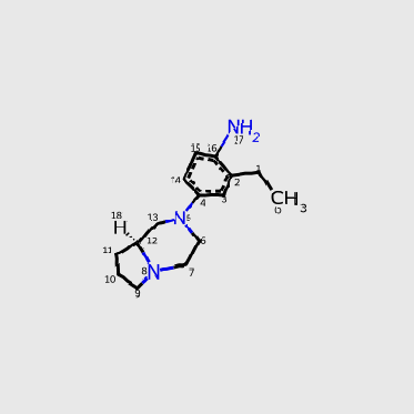 CCc1cc(N2CCN3CCC[C@H]3C2)ccc1N